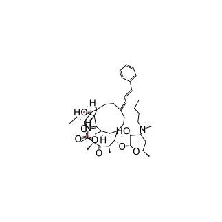 CCCCN(C)[C@H]1C[C@@H](C)O[C@@H](O[C@@H]2[C@@H](C)C(=O)[C@@H](C)C(=O)O[C@H](CC)[C@@](C)(O)[C@@H]3CC/C(=C\C=C\c4ccccc4)CC[C@]2(C)C[C@@H](C)/C(=N\C(C)=O)[C@@H]3C)[C@@H]1O